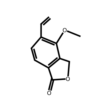 C=Cc1ccc2c(c1OC)COC2=O